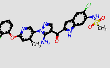 Cc1cc(Oc2ccccc2Cl)ncc1-n1ncc(C(=O)c2cc3cc(Cl)c(NS(C)(=O)=O)cc3[nH]2)c1N